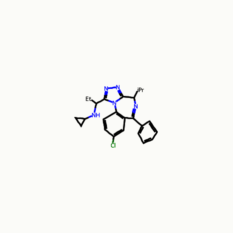 CCC(NC1CC1)c1nnc2n1-c1ccc(Cl)cc1C(c1ccccc1)=NC2C(C)C